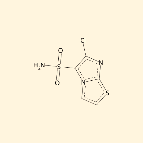 NS(=O)(=O)c1c(Cl)nc2sccn12